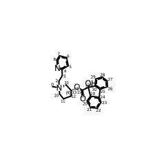 C[N+]1(CCc2ccccn2)CCC[C@@H](OC(=O)C2(O)c3ccccc3-c3ccccc32)C1